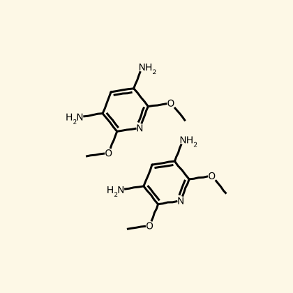 COc1nc(OC)c(N)cc1N.COc1nc(OC)c(N)cc1N